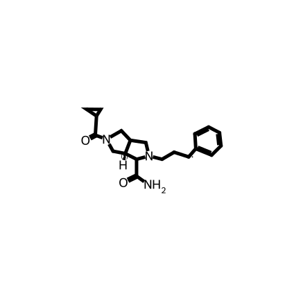 NC(=O)C1[C@@H]2CN(C(=O)C3CC3)CC2CN1CC[CH]c1ccccc1